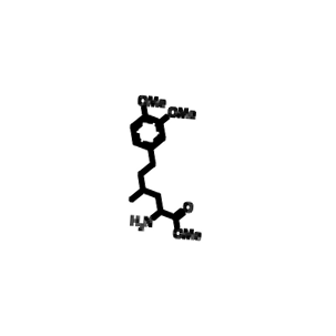 COC(=O)C(N)CC(C)CCc1ccc(OC)c(OC)c1